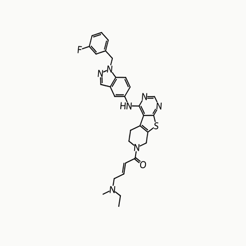 CCN(C)CC=CC(=O)N1CCc2c(sc3ncnc(Nc4ccc5c(cnn5Cc5cccc(F)c5)c4)c23)C1